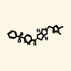 Cc1cc(CN2C[C@H]3C[C@H](Nc4ccc(S(=O)(=O)c5ccccc5)nn4)C[C@H]3C2)nn1C